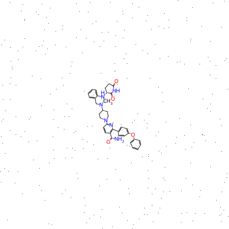 CN(Cc1ccccc1NC1CCC(=O)NC1=O)C1CCN(c2ccc(C(N)=O)c(-c3ccc(Oc4ccccc4)cc3)n2)CC1